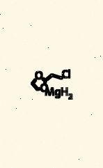 ClCCC1OCCO1.[MgH2]